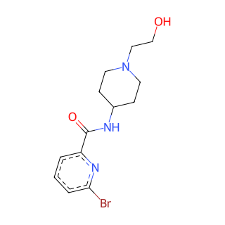 O=C(NC1CCN(CCO)CC1)c1cccc(Br)n1